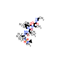 C=CCNC(=O)C(=O)C(CC)NC(=O)[C@@H]1[C@@H]2[C@H](CN1C(=O)[C@@H](NC(=O)N[C@H](CN(C)S(=O)(=O)N(C)C1CC1)C(C)(C)C)C(C)(C)C)C2(C)C